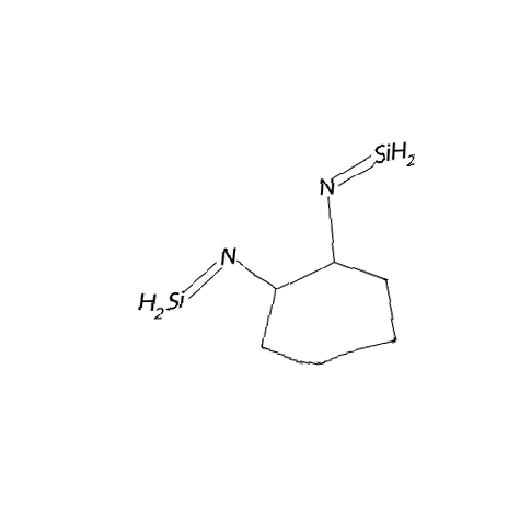 [SiH2]=NC1CCCCC1N=[SiH2]